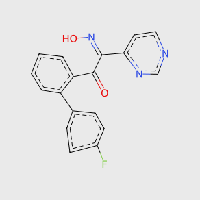 O=C(C(=NO)c1ccncn1)c1ccccc1-c1ccc(F)cc1